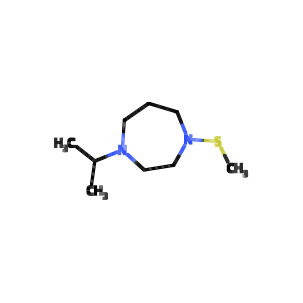 CSN1CCCN(C(C)C)CC1